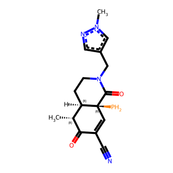 C[C@H]1C(=O)C(C#N)=C[C@@]2(P)C(=O)N(Cc3cnn(C)c3)CC[C@H]12